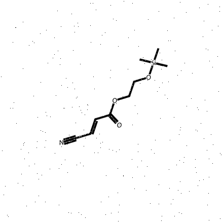 C[Si](C)(C)OCCOC(=O)C=CC#N